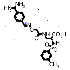 Cc1cccc(S(=O)(=O)NC(CNC(=O)CO/N=C/c2ccc(C(=N)N)cc2)C(=O)O)c1